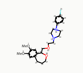 COc1cc2c(cc1OC)C(COCCN1CCN(c3ccc(F)cc3)CC1)OCCC2